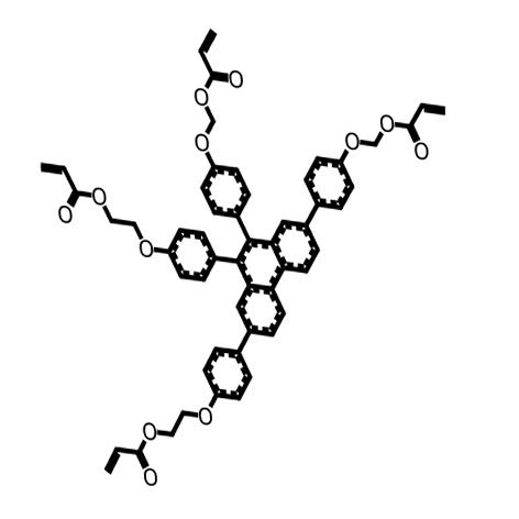 C=CC(=O)OCCOc1ccc(-c2ccc3c(c2)c(-c2ccc(OCCOC(=O)C=C)cc2)c(-c2ccc(OCOC(=O)C=C)cc2)c2cc(-c4ccc(OCOC(=O)C=C)cc4)ccc23)cc1